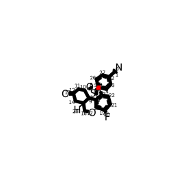 N#Cc1ccc(S(=O)(=O)[C@@]23CCC(=O)C[C@@H]2COc2c(F)ccc(F)c23)cc1